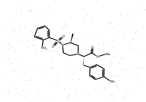 C[C@H]1CN([C@@H](Cc2ccc(C(C)(C)C)cc2)C(=O)OC(C)(C)C)CCN1S(=O)(=O)c1ccccc1[N+](=O)[O-]